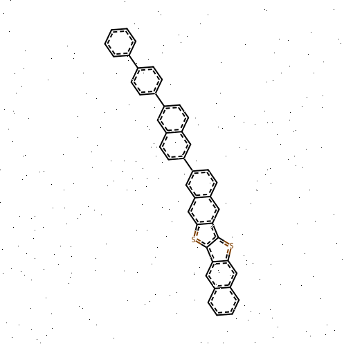 c1ccc(-c2ccc(-c3ccc4cc(-c5ccc6cc7c(cc6c5)sc5c6cc8ccccc8cc6sc75)ccc4c3)cc2)cc1